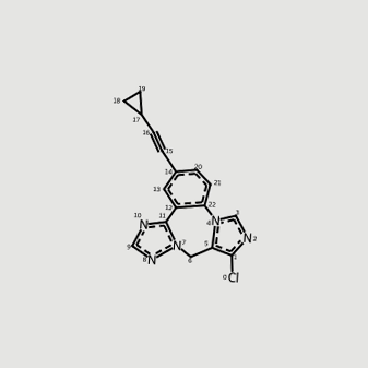 Clc1ncn2c1Cn1ncnc1-c1cc(C#CC3CC3)ccc1-2